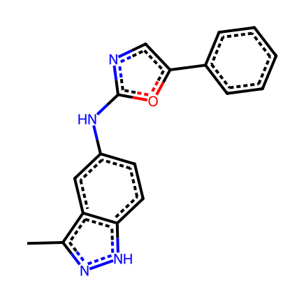 Cc1n[nH]c2ccc(Nc3ncc(-c4ccccc4)o3)cc12